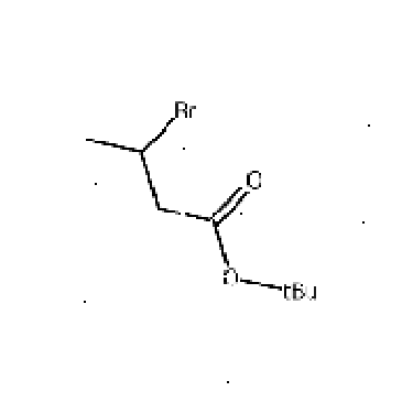 CC(Br)CC(=O)OC(C)(C)C